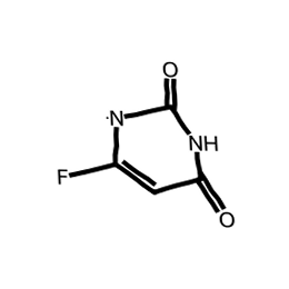 O=C1C=C(F)[N]C(=O)N1